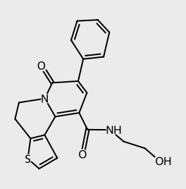 O=C(NCCO)c1cc(-c2ccccc2)c(=O)n2c1-c1ccsc1CC2